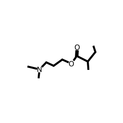 CCC(C)C(=O)OCCCN(C)C